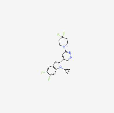 Fc1cc2cc(-c3cnnc(N4CCC(F)(F)CC4)c3)n(C3CC3)c2cc1F